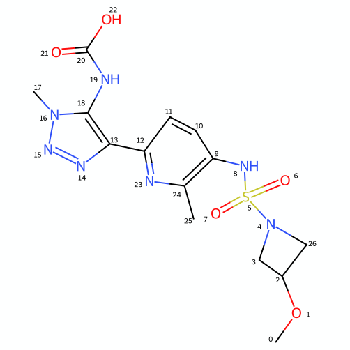 COC1CN(S(=O)(=O)Nc2ccc(-c3nnn(C)c3NC(=O)O)nc2C)C1